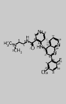 CN(C)CCNC(=O)c1cnccc1Nc1cc(-c2cc(Cl)ccc2F)nc2ncccc12